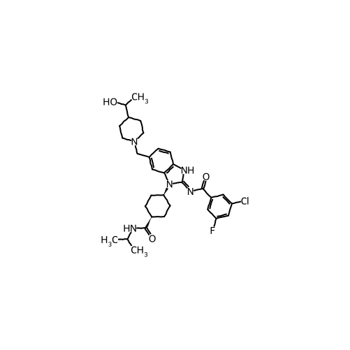 CC(C)NC(=O)[C@H]1CC[C@@H](n2/c(=N/C(=O)c3cc(F)cc(Cl)c3)[nH]c3ccc(CN4CCC(C(C)O)CC4)cc32)CC1